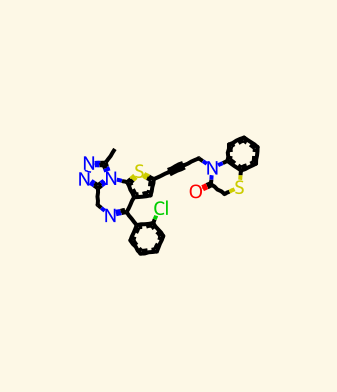 Cc1nnc2n1-c1sc(C#CCN3C(=O)CSc4ccccc43)cc1C(c1ccccc1Cl)=NC2